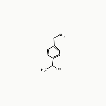 CC(O)c1ccc(CN)cc1